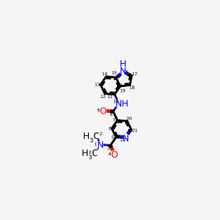 CN(C)C(=O)c1cc(C(=O)Nc2cccc3[nH]ccc23)ccn1